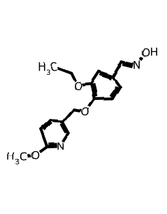 CCOc1cc(C=NO)ccc1OCc1ccc(OC)nc1